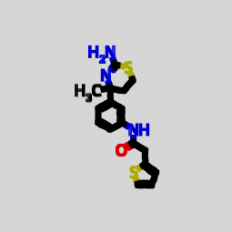 CC1(c2cccc(NC(=O)Cc3cccs3)c2)CCSC(N)=N1